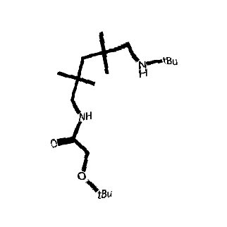 CC(C)(CNC(=O)COC(C)(C)C)CC(C)(C)CNC(C)(C)C